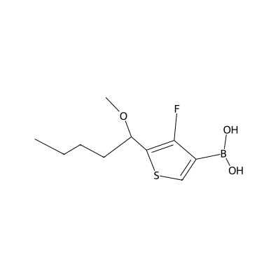 CCCCC(OC)c1scc(B(O)O)c1F